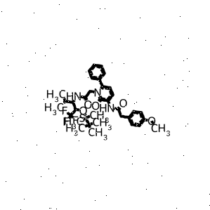 COc1ccc(CC(=O)Nc2ccc(-c3ccccc3)n(CC(=O)NC(C(C)C)C(O[Si](C)(C)C(C)(C)C)C(F)(F)F)c2=O)cc1